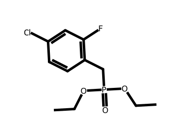 CCOP(=O)(Cc1ccc(Cl)cc1F)OCC